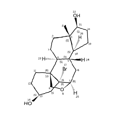 C[C@]12CC[C@H]3[C@@H](C[C@H]4OC[C@@]35CC[C@H](O)C[C@]45Br)[C@@H]1CC[C@@H]2O